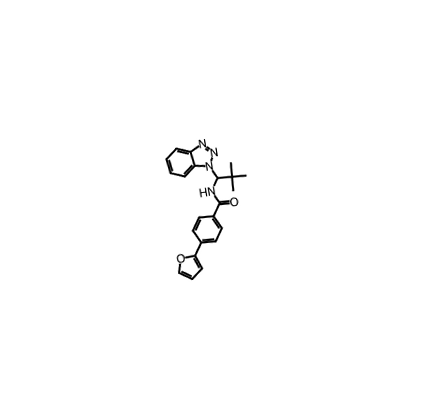 CC(C)(C)C(NC(=O)c1ccc(-c2ccco2)cc1)n1nnc2ccccc21